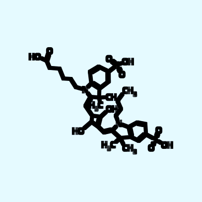 CCCCN1C(=CC2=C(O)C(C=C3N(CCCCCC(=O)O)c4ccc(S(=O)(=O)O)cc4C3(C)C)C2O)C(C)(C)c2cc(S(=O)(=O)O)ccc21